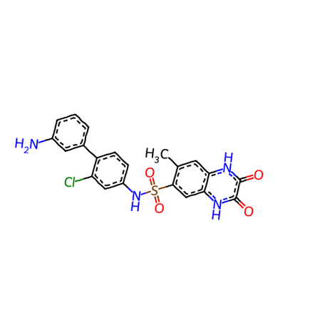 Cc1cc2[nH]c(=O)c(=O)[nH]c2cc1S(=O)(=O)Nc1ccc(-c2cccc(N)c2)c(Cl)c1